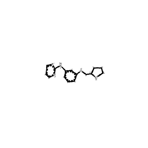 c1cnc(Nc2cccc(OCC3CCCO3)c2)nc1